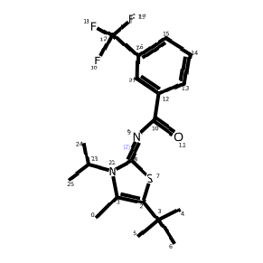 Cc1c(C(C)(C)C)s/c(=N\C(=O)c2cccc(C(F)(F)F)c2)n1C(C)C